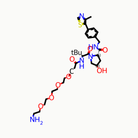 Cc1ncsc1-c1ccc(CNC(=O)[C@@H]2C[C@@H](O)CN2C(=O)C(NC(=O)CCOCCOCCOCCOCCN)C(C)(C)C)cc1